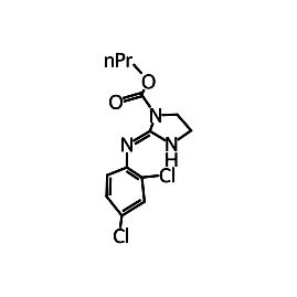 CCCOC(=O)N1CCN/C1=N\c1ccc(Cl)cc1Cl